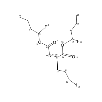 CCCC(F)OC(=O)N[C@H](CCCI)C(=O)OC(F)CCC